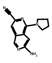 N#Cc1cc2cnc(N)cc2c(N2CCCC2)n1